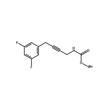 CC(C)(C)OC(=O)NCC#CCc1cc(F)cc(F)c1